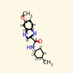 COc1ccc2nc(C(=O)N[C@H]3CC[C@H](C)CC3)cnc2c1